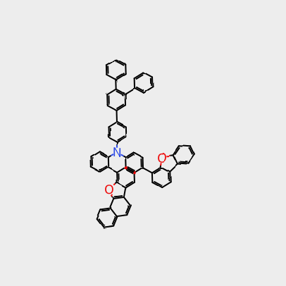 c1ccc(-c2ccc(-c3ccc(N(c4ccc(-c5cccc6c5oc5ccccc56)cc4)c4ccccc4-c4cccc5c4oc4c6ccccc6ccc54)cc3)cc2-c2ccccc2)cc1